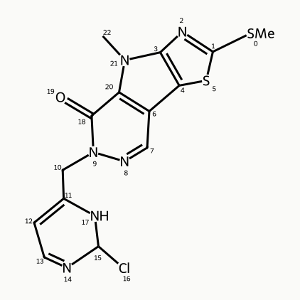 CSc1nc2c(s1)c1cnn(CC3=CC=NC(Cl)N3)c(=O)c1n2C